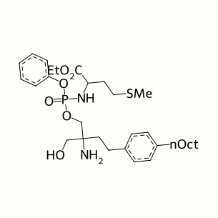 CCCCCCCCc1ccc(CCC(N)(CO)COP(=O)(NC(CCSC)C(=O)OCC)Oc2ccccc2)cc1